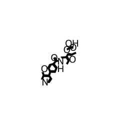 Cc1oc(C)c(OC(=O)O)c1CNC(=O)c1ccc2c(c1)OCc1cnccc1-2